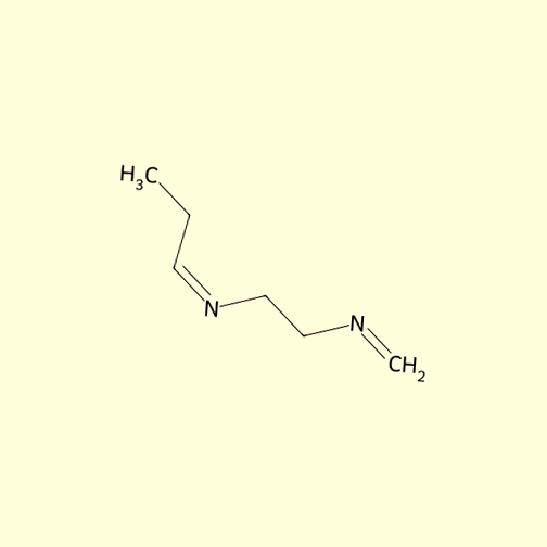 C=NCC/N=C\CC